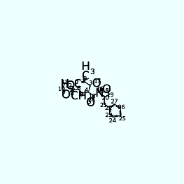 C=C(C)C[C@H](CCC1(C)OCCO1)C(=O)N1C(=O)OC[C@H]1Cc1ccccc1